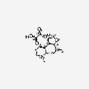 CN1CCC=C(c2cnoc2N(C)C)C1.O=C(O)C(=O)O